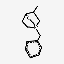 CC1C[N+]2(Cc3ccccc3)CCC1CC2